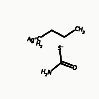 CCCC.NC(=O)[S-].[Ag+]